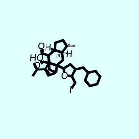 CC(C)C1=CC2CC3(C=O)[C@@H]4CC[C@@H](C)[C@H]4CC2(C2CC(CC4CCCCC4)C(CI)O2)C13C(=O)O